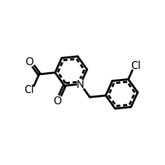 O=C(Cl)c1cccn(Cc2cccc(Cl)c2)c1=O